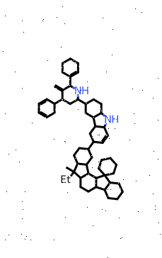 C=C1C(C2=CCCCC2)NC(C2CCC3NC4C=CC(C5CCC6C(C5)C5C(CCC7C8CCCCC8C8(CCCCC8)C75)C6(C)CC)CC4C3C2)CC1C1C=CC=CC1